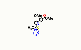 COC(=O)c1ccc(-c2cccc(-c3sc(CN)nc3C)n2)cc1OC